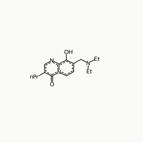 CCCc1cnc2c(O)c(CN(CC)CC)ccn2c1=O